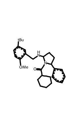 COc1ccc(C(C)(C)C)cc1CNC1CCC(c2ccccc2)N1C(=O)C1CCCCC1